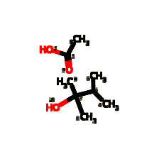 CC(=O)O.CC(C)C(C)(C)O